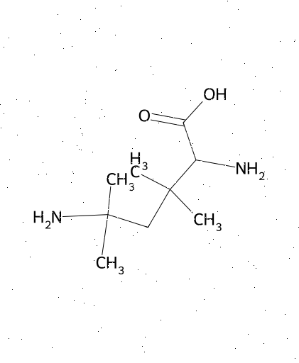 CC(C)(N)CC(C)(C)C(N)C(=O)O